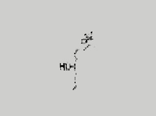 C=CCCC(O)C/C=C\CC(C)O[Si](C)(C)C